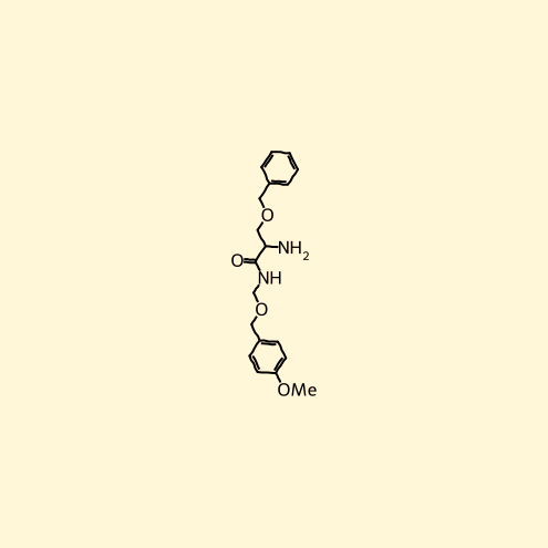 COc1ccc(COCNC(=O)C(N)COCc2ccccc2)cc1